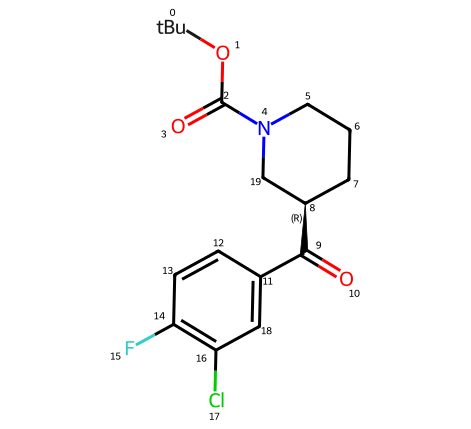 CC(C)(C)OC(=O)N1CCC[C@@H](C(=O)c2ccc(F)c(Cl)c2)C1